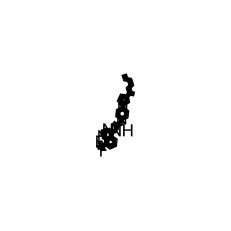 C=C/C=C\C=C(/C)C1=CC=C(N2CCN(/C=C(\C)Nc3ncnc4c(C(C)(F)F)cccc34)CC2)C1